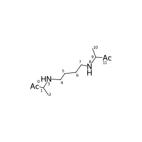 CC(=O)C(C)NCCCCNC(C)C(C)=O